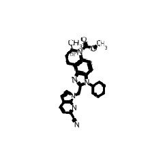 COC(=O)N1c2ccc3c(nc(Cn4ccc5ccc(C#N)nc54)n3C3CCCCC3)c2CC[C@@H]1C